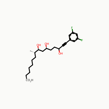 C[C@@H](CCCCCCC(=O)O)[C@@H](O)C[C@@H](O)CCC(O)C#Cc1cc(F)cc(F)c1